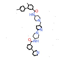 Cc1ccc(-c2cc(C(=O)NC3CCN(Cc4ccc(N5CCC(NC(=O)c6cccc(-c7cccnc7)c6)CC5)nc4)CC3)ccc2C)cc1